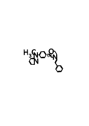 CN(c1ccc([C@H]2CN(C=Cc3ccccc3)CCO2)cc1)c1ccccn1